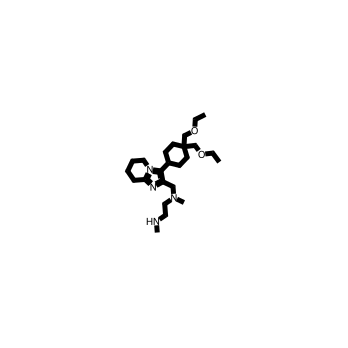 CCOCC1(COCC)CCC(c2c(CN(C)CCNC)nc3n2CCCC3)CC1